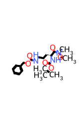 CON(C)C(=O)[C@@H](CCCNC(=O)OCc1ccccc1)NC(=O)OC(C)(C)C